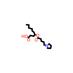 CCCCCCC(CCC(=O)O)OC(=O)CCCCN1CCCC1